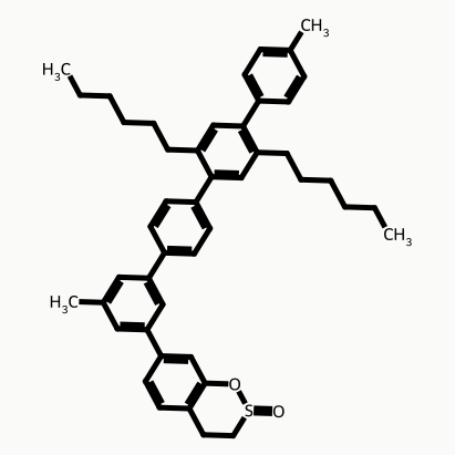 CCCCCCc1cc(-c2ccc(-c3cc(C)cc(-c4ccc5c(c4)OS(=O)CC5)c3)cc2)c(CCCCCC)cc1-c1ccc(C)cc1